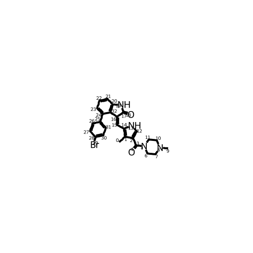 Cc1c(C(=O)N2CCN(C)CC2)c[nH]c1/C=C1\C(=O)Nc2cccc(-c3ccc(Br)cc3)c21